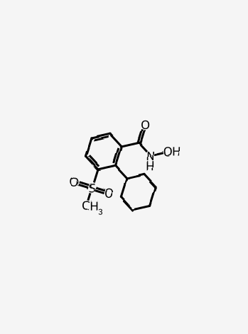 CS(=O)(=O)c1cccc(C(=O)NO)c1C1CCCCC1